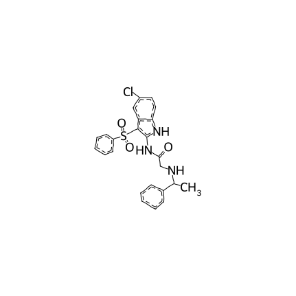 CC(NCC(=O)Nc1[nH]c2ccc(Cl)cc2c1S(=O)(=O)c1ccccc1)c1ccccc1